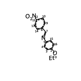 CCOc1ccc(N=Cc2ccc([N+](=O)[O-])cc2)cc1